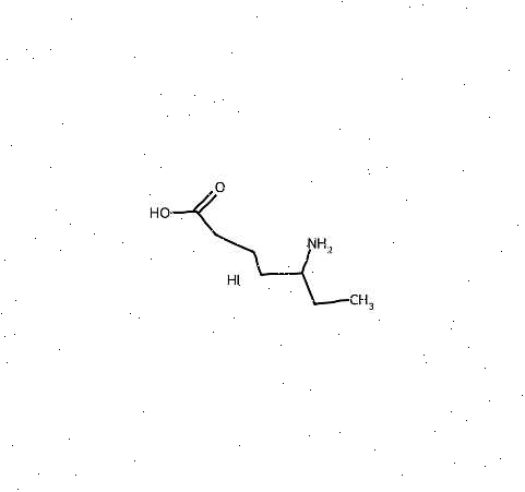 CCC(N)CCCC(=O)O.I